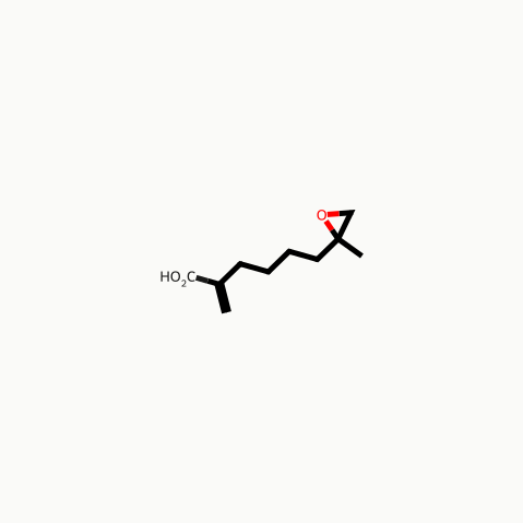 C=C(CCCCC1(C)CO1)C(=O)O